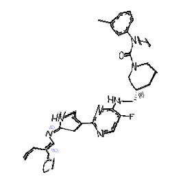 C=C/C(Cl)=C\N=C1/CC(c2ncc(F)c(NC[C@H]3CCCN(C(=O)Nc4cccc(C)c4)C3)n2)=CN1